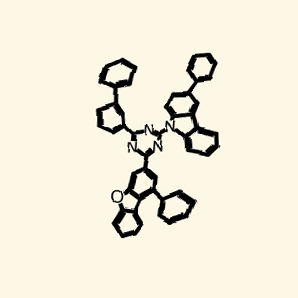 c1ccc(-c2cccc(-c3nc(-c4cc(-c5ccccc5)c5c(c4)oc4ccccc45)nc(-n4c5ccccc5c5cc(-c6ccccc6)ccc54)n3)c2)cc1